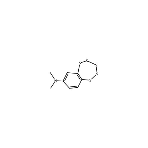 CN(C)c1ccc2c(c1)SSSSS2